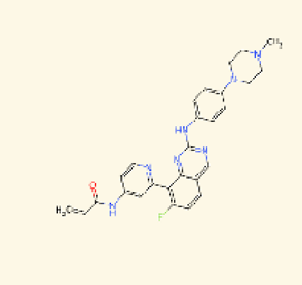 C=CC(=O)Nc1ccnc(-c2c(F)ccc3cnc(Nc4ccc(N5CCN(C)CC5)cc4)nc23)c1